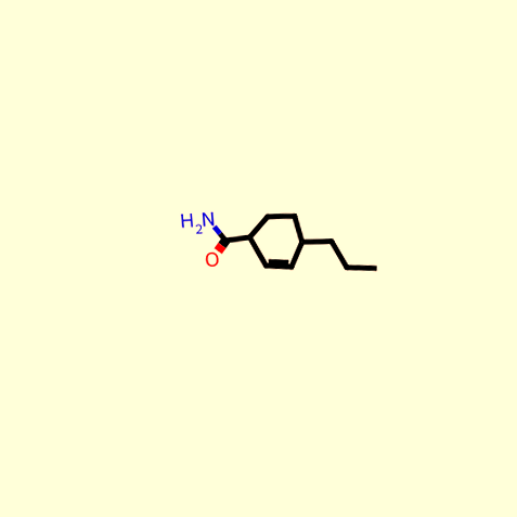 CCCC1C=CC(C(N)=O)CC1